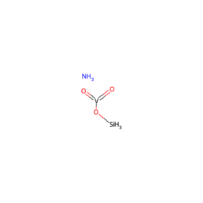 N.[O]=[V](=[O])[O][SiH3]